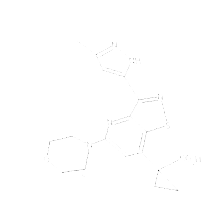 Cc1cc(-c2nsc3c(C4(C(=O)O)CC4)cc(N4CCOC[C@H]4C)nc23)[nH]n1